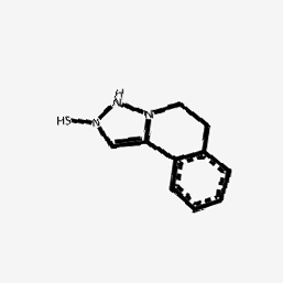 SN1C=C2c3ccccc3CCN2N1